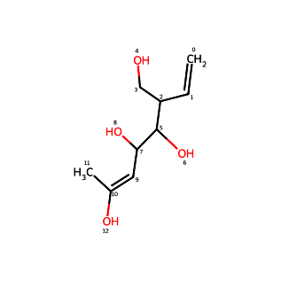 C=CC(CO)C(O)C(O)/C=C(\C)O